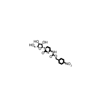 O=C(Nc1ccn([C@@H]2O[C@H](CO)[C@@H](O)[C@@H]2O)c(=O)n1)OCc1ccc([N+](=O)[O-])cc1